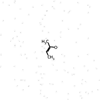 CC=C(C)[O]